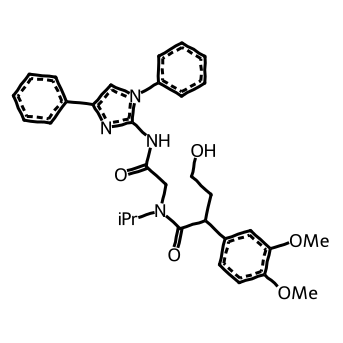 COc1ccc(C(CCO)C(=O)N(CC(=O)Nc2nc(-c3ccccc3)cn2-c2ccccc2)C(C)C)cc1OC